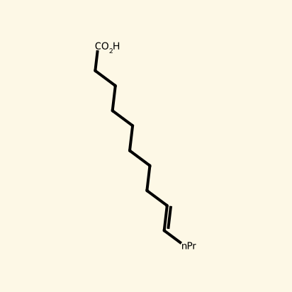 CCC/C=C/CCCCCCCC(=O)O